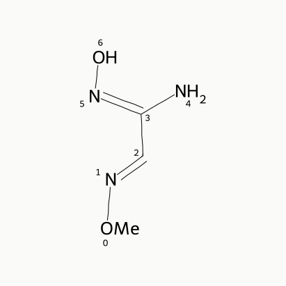 CON=CC(N)=NO